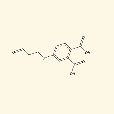 O=CCCOc1ccc(C(=O)O)c(C(=O)O)c1